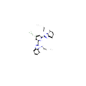 COCCn1c(-c2cccc(-c3nc4ccccc4n3CCOC)n2)nc2ccccc21.[Cl-].[Cl-].[Cl-].[V+3]